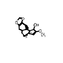 COC1=C[C@]23CCCN2CCc2cc4c(cc2C3C1O)OCO4